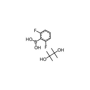 CC(C)(O)C(C)(C)O.OB(O)c1c(F)cccc1F